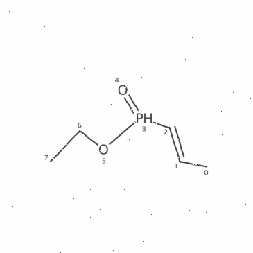 CC=C[PH](=O)OCC